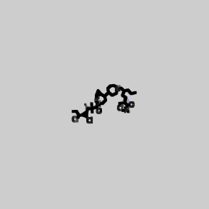 CCCC(C/C=C(\CCl)C(=O)N(C)C)CN1CCCC(C2CCN(C(=O)C(C)(C)[C@@H](C)C3C(Cl)C3C(Cl)CC)CC3CC32)CC1